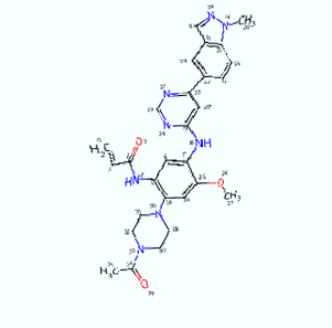 C=CC(=O)Nc1cc(Nc2cc(-c3ccc4c(cnn4C)c3)ncn2)c(OC)cc1N1CCN(C(C)=O)CC1